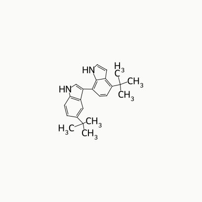 CC(C)(C)c1ccc2[nH]cc(-c3ccc(C(C)(C)C)c4cc[nH]c34)c2c1